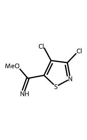 COC(=N)c1snc(Cl)c1Cl